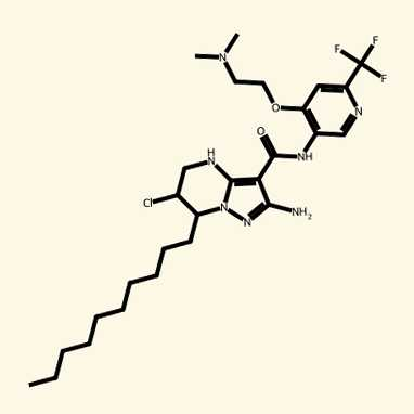 CCCCCCCCCCC1C(Cl)CNc2c(C(=O)Nc3cnc(C(F)(F)F)cc3OCCN(C)C)c(N)nn21